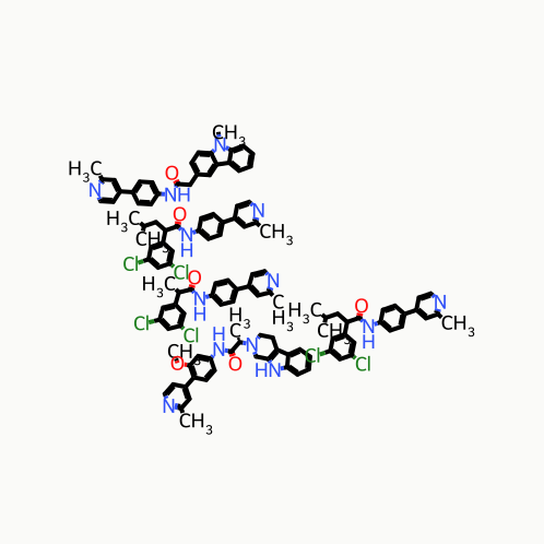 COc1cc(NC(=O)[C@@H](C)N2CCc3c([nH]c4ccccc34)C2)ccc1-c1ccnc(C)c1.Cc1cc(-c2ccc(NC(=O)C(C)c3cc(Cl)cc(Cl)c3)cc2)ccn1.Cc1cc(-c2ccc(NC(=O)C(CC(C)C)c3cc(Cl)cc(Cl)c3)cc2)ccn1.Cc1cc(-c2ccc(NC(=O)C(CC(C)C)c3cc(Cl)cc(Cl)c3)cc2)ccn1.Cc1cc(-c2ccc(NC(=O)Cc3ccc4c(c3)c3ccccc3n4C)cc2)ccn1